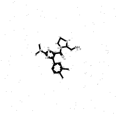 Cc1ccc(-c2sc(N(C)C)nc2C(=O)N2CCSC2CN)cc1C